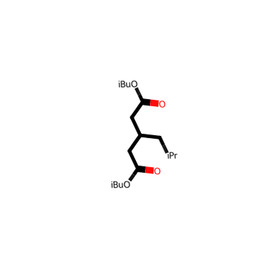 CC(C)COC(=O)CC(CC(=O)OCC(C)C)CC(C)C